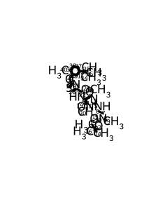 COc1nc(NCCN(C)C(=O)OC(C)(C)C)nc(OC)c1NC(=O)c1csc(Oc2cc(C(C)(C)C)ccc2C)n1